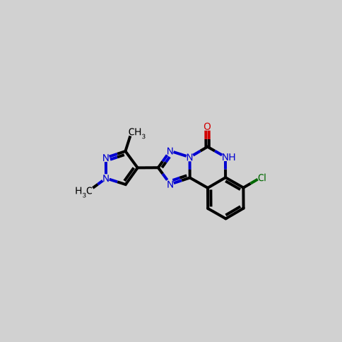 Cc1nn(C)cc1-c1nc2c3cccc(Cl)c3[nH]c(=O)n2n1